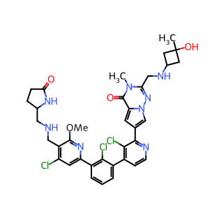 COc1nc(-c2cccc(-c3ccnc(-c4cc5c(=O)n(C)c(CNC6CC(C)(O)C6)nn5c4)c3Cl)c2Cl)cc(Cl)c1CNCC1CCC(=O)N1